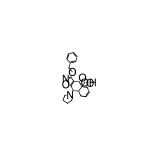 O=C1C=CCC2[C@H](N3CCCC3)c3onc(OCc4ccccc4)c3C(=O)[C@]12O